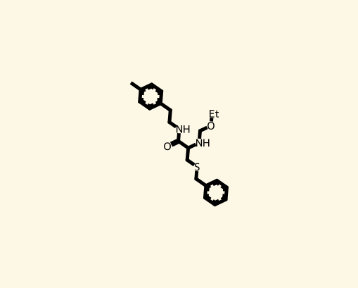 CCOCNC(CSCc1ccccc1)C(=O)NCCc1ccc(C)cc1